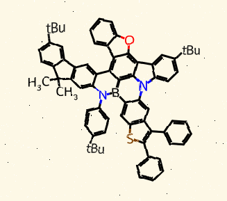 CC(C)(C)c1ccc(N2B3c4cc5sc(-c6ccccc6)c(-c6ccccc6)c5cc4-n4c5ccc(C(C)(C)C)cc5c5c6oc7ccccc7c6c(c3c54)-c3cc4c(cc32)C(C)(C)c2ccc(C(C)(C)C)cc2-4)cc1